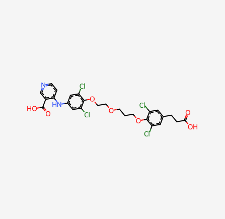 O=C(O)CCc1cc(Cl)c(OCCCOCCOc2c(Cl)cc(Nc3ccncc3C(=O)O)cc2Cl)c(Cl)c1